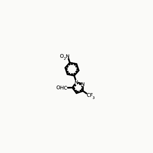 O=Cc1cc(C(F)(F)F)nn1-c1ccc([N+](=O)[O-])cc1